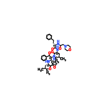 CC(C)C[C@H](NC(=O)[C@H](CCc1ccccc1)NC(=O)CN1CCOCC1)C(=O)N[C@@H](CN[C@@H](CC(C)C)C(=O)[C@]1(C)CO1)C(=O)c1ccccc1